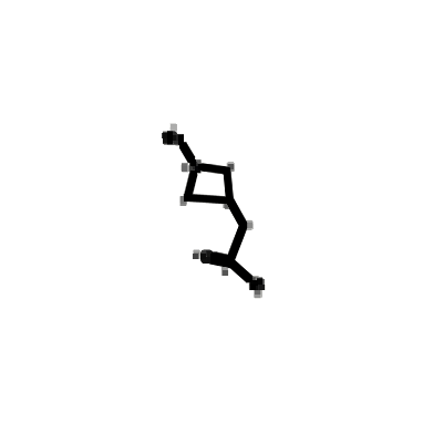 CCC(=O)CC1CN(C(C)(C)C)C1